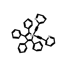 C(#[C][Ge]1([C]#Cc2ccccn2)[C](c2ccccc2)=C(c2ccccc2)C(c2ccccc2)=[C]1c1ccccc1)c1ccccn1